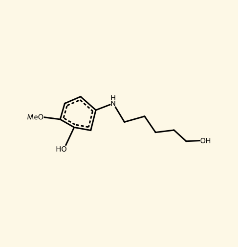 COc1ccc(NCCCCCO)cc1O